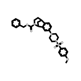 COc1ccc(S(=O)(=O)N2CCN(c3ccc4c(c3)C3CC4CCN3C(=O)OCc3ccccc3)CC2)cc1